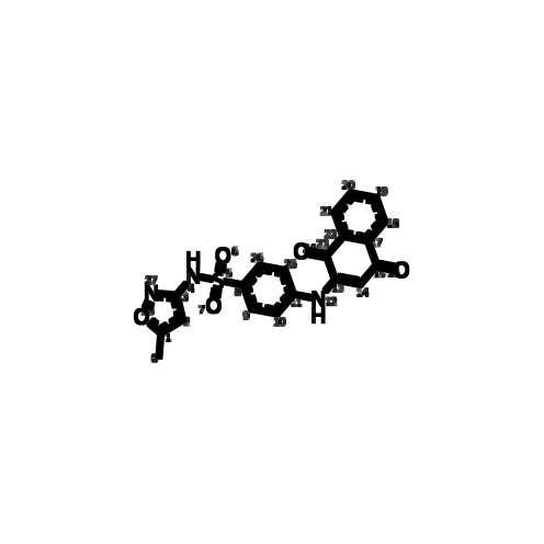 Cc1cc(NS(=O)(=O)c2ccc(NC3=CC(=O)c4ccccc4C3=O)cc2)no1